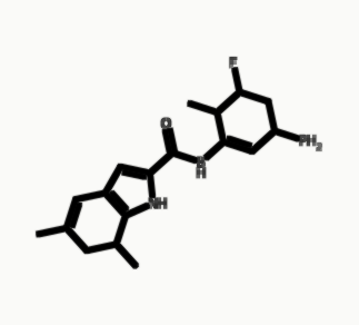 CC1=Cc2cc(C(=O)BC3=CC(P)CC(F)C3C)[nH]c2C(C)C1